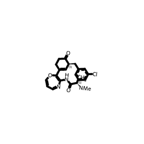 CN[C@@H](C)C(=O)NC1=C(C2=C[C@H](Cc3cccc(Cl)c3)C(=O)CC2)OC=CC=N1